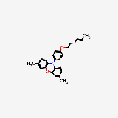 CCCCCCOc1ccc(N2c3ccc(C)cc3Oc3cc(C)ccc32)cc1